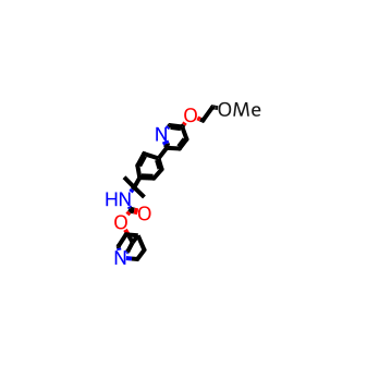 COCCOc1ccc(-c2ccc(C(C)(C)NC(=O)OC3CN4CCC3CC4)cc2)nc1